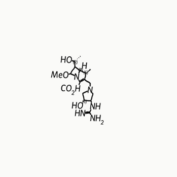 COC1C([C@@H](C)O)[C@H]2[C@@H](C)C(CN3CC(NC(=N)N)[C@@H](O)C3)=C(C(=O)O)N12